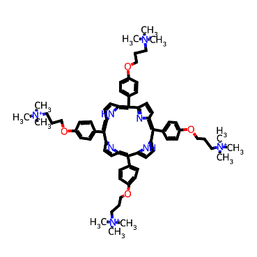 C[N+](C)(C)CCCOc1ccc(-c2c3nc(c(-c4ccc(OCCC[N+](C)(C)C)cc4)c4ccc([nH]4)c(-c4ccc(OCCC[N+](C)(C)C)cc4)c4nc(c(-c5ccc(OCCC[N+](C)(C)C)cc5)c5ccc2[nH]5)C=C4)C=C3)cc1